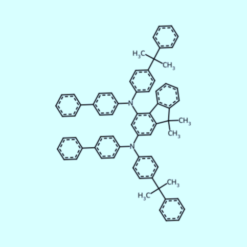 CC(C)(c1ccccc1)c1ccc(N(c2ccc(-c3ccccc3)cc2)c2cc(N(c3ccc(-c4ccccc4)cc3)c3ccc(C(C)(C)c4ccccc4)cc3)c3c(c2)C(C)(C)c2ccccc2-3)cc1